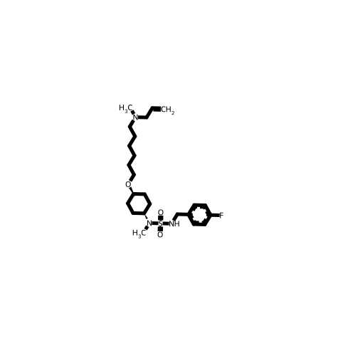 C=CCN(C)CCCCCCO[C@H]1CC[C@H](N(C)S(=O)(=O)NCc2ccc(F)cc2)CC1